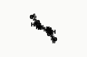 CC(=O)CCCCC(=O)Nc1nnc(CCCCc2nnc(NC(=O)CCCCC(C)=O)s2)s1